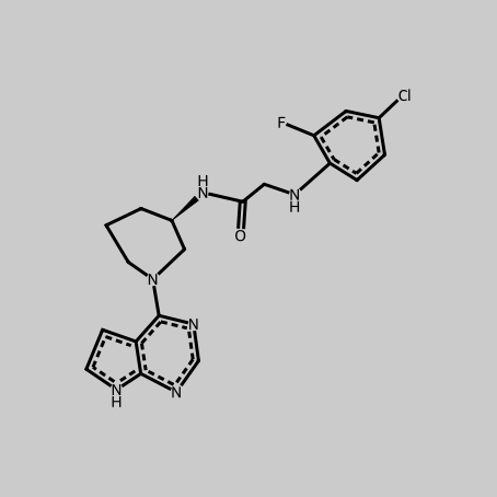 O=C(CNc1ccc(Cl)cc1F)N[C@@H]1CCCN(c2ncnc3[nH]ccc23)C1